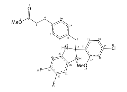 COC(=O)CCc1ccc(CC2(c3ccc(Cl)cc3OC)Nc3cc(F)c(F)cc3N2)cc1